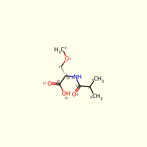 COC[C@H](NC(=O)C(C)C)C(=O)O